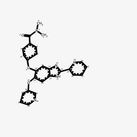 CN(C)C(=O)c1ccc(Oc2cc3nc(-c4ccccn4)[nH]c3cc2Oc2cccnc2)cc1